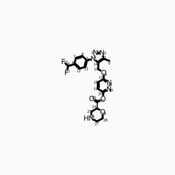 Cc1nnn(-c2ccc(C(F)F)cc2)c1COc1ccc(OC(=O)[C@@H]2CNCCO2)nn1